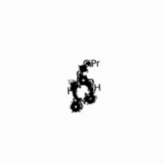 CC(C)O[C@H]1C[C@@H](Oc2ccc3c(n2)N2C[C@@H](CC[C@H](c4ccccn4)Nc4cccc(n4)SNC3=O)CC2(C)C)C1